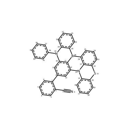 N#Cc1ccccc1-c1cc2c3c(c1)N1c4ccccc4Sc4cccc(c41)B3c1ccccc1N2c1ccccc1